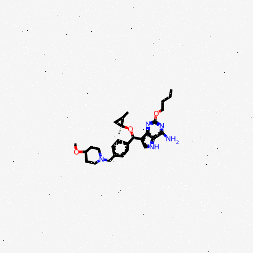 CCCCOc1nc(N)c2[nH]cc(C(O[C@@]3(C)CC3C)c3ccc(CN4CCC(OC)CC4)cc3)c2n1